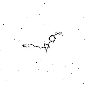 Cn1nc(-c2ccc(OC(F)(F)F)cc2)cc1CCCCC(=O)O